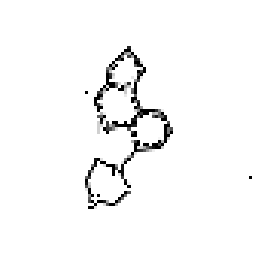 c1cc(N2CCSCC2)c2ncc3cccn3c2c1